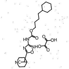 O=C(Nc1noc(C2CN3CCC2CC3)n1)OCCCCC1CCCCC1.O=C(O)C(=O)O